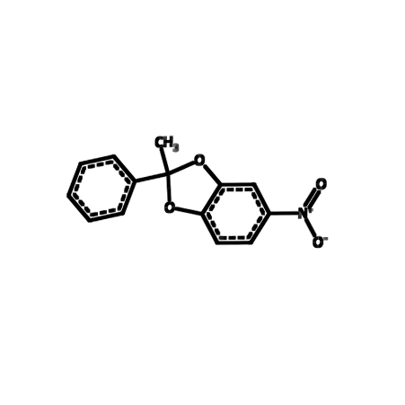 CC1(c2ccccc2)Oc2ccc([N+](=O)[O-])cc2O1